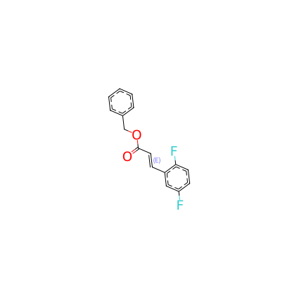 O=C(/C=C/c1cc(F)ccc1F)OCc1ccccc1